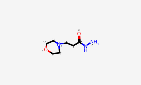 NNC(=O)CCN1CCOCC1